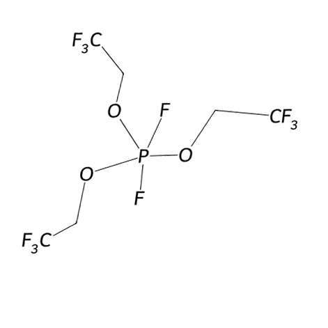 FC(F)(F)COP(F)(F)(OCC(F)(F)F)OCC(F)(F)F